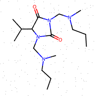 CCCN(C)CN1C(=O)C(C(C)C)N(CN(C)CCC)C1=O